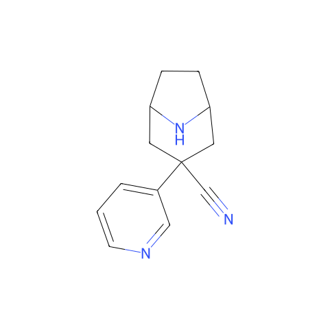 N#CC1(c2cccnc2)CC2CCC(C1)N2